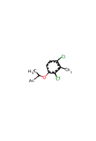 CC(=O)C(C)Oc1ccc(Cl)c(C)c1Cl